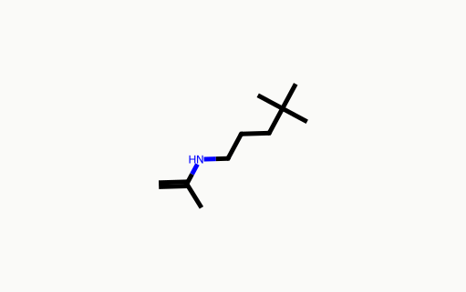 C=C(C)NCCCC(C)(C)C